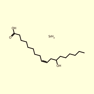 CCCCCCC(O)C/C=C\CCCCCCCC(=O)O.[SrH2]